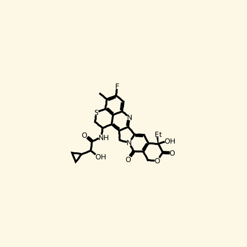 CC[C@@]1(O)C(=O)OCc2c1cc1n(c2=O)Cc2c-1nc1cc(F)c(C)c3c1c2C(NC(=O)C(O)C1CC1)CS3